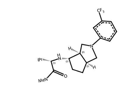 CNC(=O)[C@@H](N[C@H]1CC[C@@H]2CN(c3cccc(C(F)(F)F)c3)C[C@@H]21)C(C)C